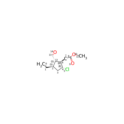 C=C[C@@H]1C[C@@H](Cl)[C@H](CC(=O)OC)[C@H]1C=O